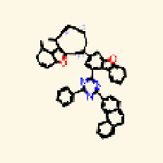 C=C1/C=C\C=C/C/C(c2cc(-c3nc(-c4ccccc4)nc(-c4ccc5ccc6ccccc6c5c4)n3)c3c(c2)oc2ccccc23)=C\c2oc3c(c21)C(C)CC=C3